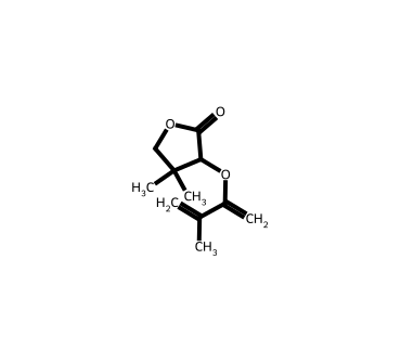 C=C(C)C(=C)OC1C(=O)OCC1(C)C